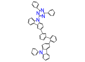 c1ccc(-c2nc(-c3ccccc3)nc(-n3c4ccccc4c4cc(-c5cccc(-c6ccccc6-c6ccc7c(c6)c6ccccc6n7-c6ccccc6)c5)ccc43)n2)cc1